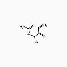 C=CC(=O)C(CCC)NC(N)=O